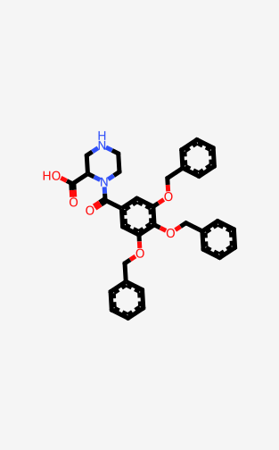 O=C(O)C1CNCCN1C(=O)c1cc(OCc2ccccc2)c(OCc2ccccc2)c(OCc2ccccc2)c1